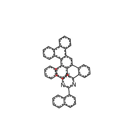 c1ccc(-c2nc(-c3ccccc3-c3cc4c5ccccc5c5ccccc5c4c4ccccc34)nc(-c3cccc4ccccc34)n2)cc1